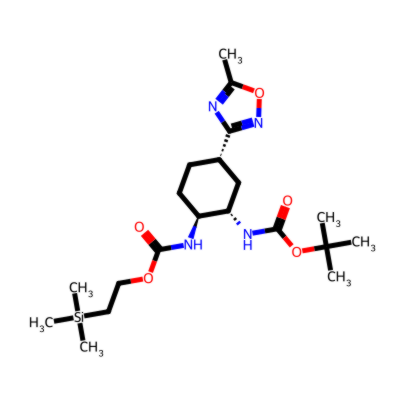 Cc1nc([C@H]2CC[C@H](NC(=O)OCC[Si](C)(C)C)[C@@H](NC(=O)OC(C)(C)C)C2)no1